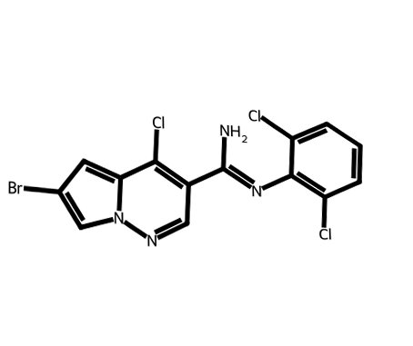 N/C(=N\c1c(Cl)cccc1Cl)c1cnn2cc(Br)cc2c1Cl